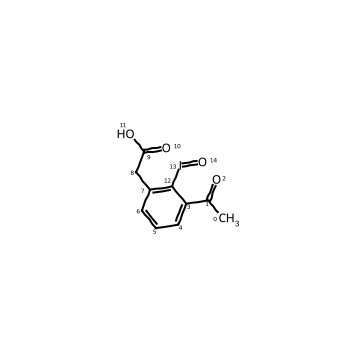 CC(=O)c1cccc(CC(=O)O)c1I=O